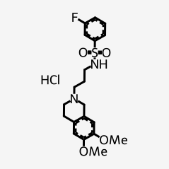 COc1cc2c(cc1OC)CN(CCCNS(=O)(=O)c1cccc(F)c1)CC2.Cl